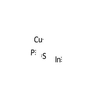 [Cu].[In].[P].[S]